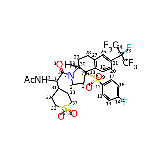 CC(=O)NC(C(=O)N1CC[C@@]2(S(=O)(=O)c3ccc(F)cc3)c3ccc(C(F)(C(F)(F)F)C(F)(F)F)cc3CC[C@@H]12)C1CCS(=O)(=O)CC1